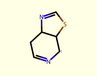 [C]1N=CCC2N=CSC12